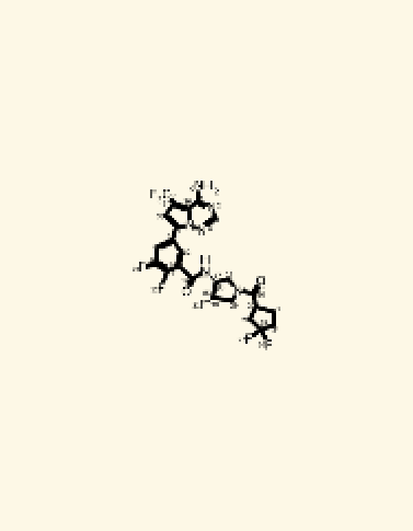 Nc1ncnn2c(-c3cc(F)c(F)c(C(=O)N[C@@H]4CN(C(=O)C5CCC(F)(F)C5)C[C@@H]4F)c3)cc(C(F)(F)F)c12